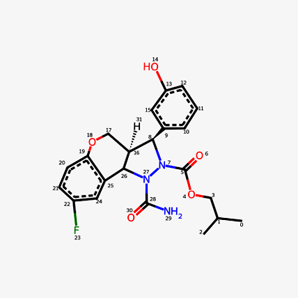 CC(C)COC(=O)N1[C@H](c2cccc(O)c2)[C@@H]2COc3ccc(F)cc3C2N1C(N)=O